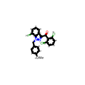 COc1ccc(Cn2nc(C(=O)c3c(Cl)cccc3Cl)c3cccc(F)c32)cc1